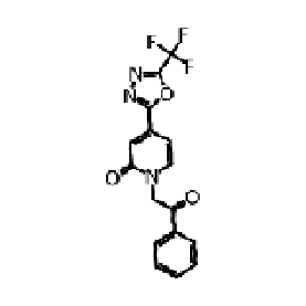 O=C(Cn1ccc(-c2nnc(C(F)(F)F)o2)cc1=O)c1ccccc1